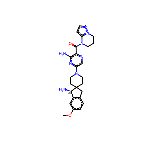 COc1ccc2c(c1)[C@@H](N)C1(CCN(c3cnc(C(=O)N4CCCn5nccc54)c(N)n3)CC1)C2